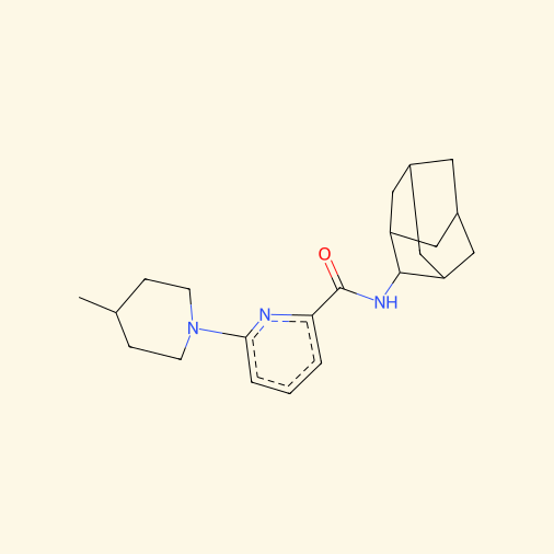 CC1CCN(c2cccc(C(=O)NC3C4CC5CC(C4)CC3C5)n2)CC1